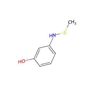 CSNc1cccc(O)c1